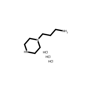 Cl.Cl.Cl.NCCCN1CCNCC1